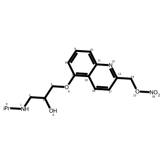 CC(C)NCC(O)COc1cccc2nc(CO[N+](=O)[O-])ccc12